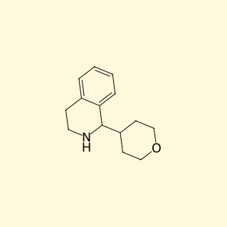 c1ccc2c(c1)CCNC2C1CCOCC1